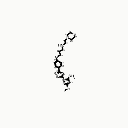 CSc1nc(N)n(-c2nnc(-c3ccc(OCCCNCCN4CCOCC4)cc3)s2)n1